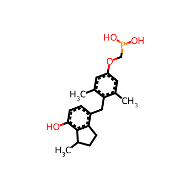 Cc1cc(OCP(O)O)cc(C)c1Cc1ccc(O)c2c1CCC2C